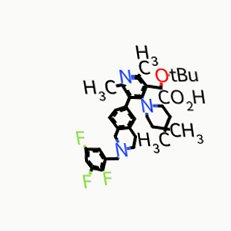 Cc1nc(C)c(C(OC(C)(C)C)C(=O)O)c(N2CCC(C)(C)CC2)c1-c1ccc2c(c1)CCN(Cc1cc(F)cc(F)c1F)C2